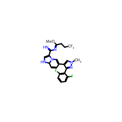 CO/C(CCC(F)(F)F)=N\C(=N)C1=CNC2C=CC(c3cn(C)nc3-c3c(F)cccc3F)=CN12